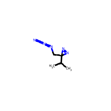 CC(C)C1(CN=[N+]=[N-])N=N1